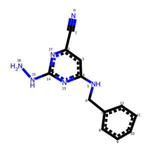 N#Cc1cc(NCc2ccccc2)nc(NN)n1